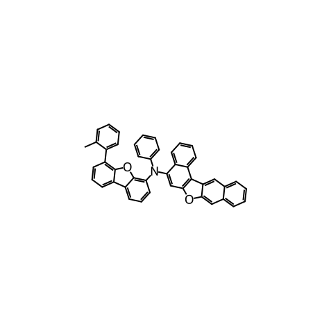 Cc1ccccc1-c1cccc2c1oc1c(N(c3ccccc3)c3cc4oc5cc6ccccc6cc5c4c4ccccc34)cccc12